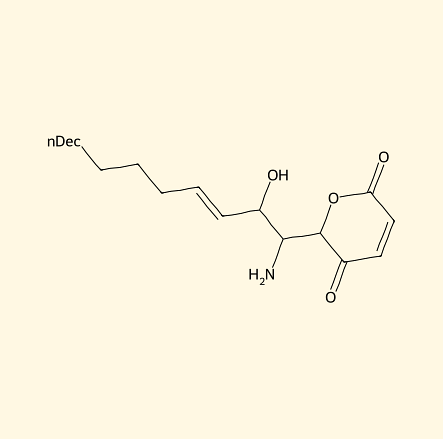 CCCCCCCCCCCCCC=CC(O)C(N)C1OC(=O)C=CC1=O